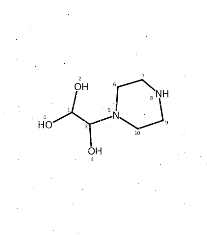 OC(O)C(O)N1CCNCC1